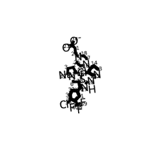 C[C@@H]1CCCN1Cc1sc(Nc2nccc(N3CCN(CCC(=O)[O-])CC3)c2F)nc1-c1ccc(Cl)c(C(F)(F)F)c1.[Na+]